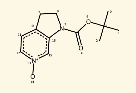 CC(C)(C)OC(=O)N1CCc2cc[n+]([O-])cc21